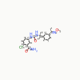 CO/N=C(\C)c1cccc(C(C)(C)NC(=O)Nc2ccc(Cl)c(C(N)=O)c2)c1